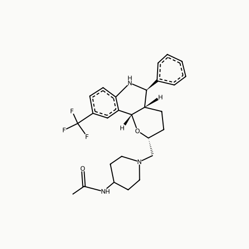 CC(=O)NC1CCN(C[C@H]2CC[C@@H]3[C@H](O2)c2cc(C(F)(F)F)ccc2N[C@H]3c2ccccc2)CC1